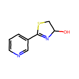 OC1CSC(c2cccnc2)=N1